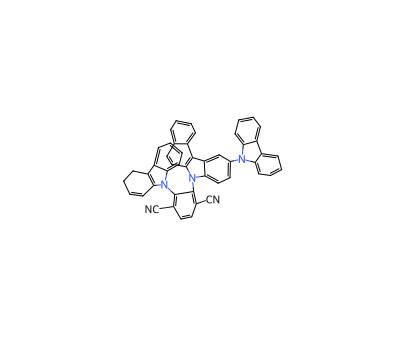 N#Cc1ccc(C#N)c(-n2c3ccc(-n4c5ccccc5c5ccccc54)cc3c3c4ccccc4ccc32)c1-n1c2c(c3ccccc31)CCC=C2